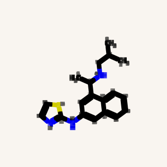 CC(C)CNC(C)c1cc(Nc2nccs2)cc2ccccc12